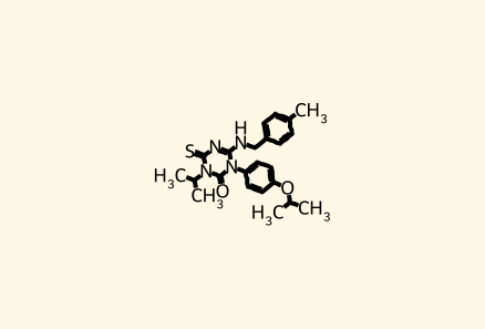 Cc1ccc(CNc2nc(=S)n(C(C)C)c(=O)n2-c2ccc(OC(C)C)cc2)cc1